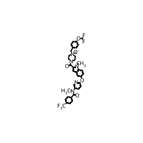 CN(C(=O)c1ccc(C(F)(F)F)cc1)c1ccc(Oc2ccc3c(c2)cc(C(=O)N2CC[N+]([O-])(Cc4ccc(OC(F)F)cc4)CC2)n3C)nc1